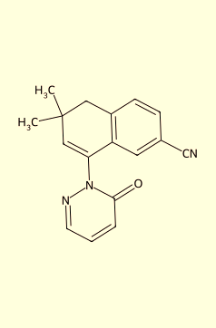 CC1(C)C=C(n2ncccc2=O)c2cc(C#N)ccc2C1